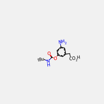 CC(C)(C)NC(=O)Oc1cc(N)cc(CC(=O)O)c1